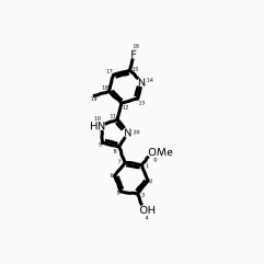 COc1cc(O)ccc1-c1c[nH]c(-c2cnc(F)cc2C)n1